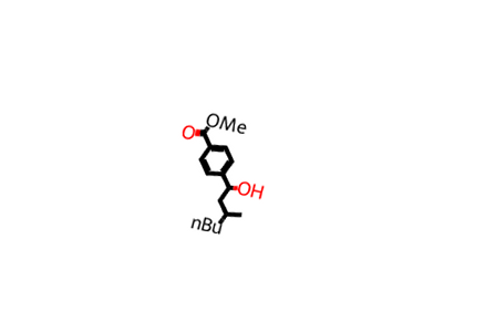 CCCCC(C)CC(O)c1ccc(C(=O)OC)cc1